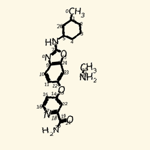 CC1CCCC(Nc2nc3ccc(Oc4ccnc(C(N)=O)c4)cc3o2)C1.CN